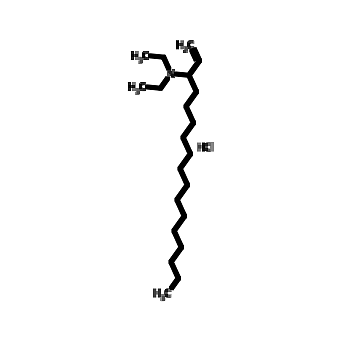 C=CC(CCCCCCCCCCCCCC)N(CC)CC.Cl